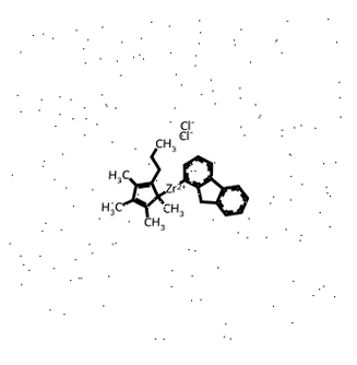 CCCC1=C(C)C(C)=C(C)[C]1(C)[Zr+2][c]1cccc2c1Cc1ccccc1-2.[Cl-].[Cl-]